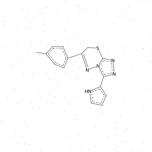 Cc1ccc(C2=Nn3c(nnc3-c3ccc[nH]3)SC2)cc1